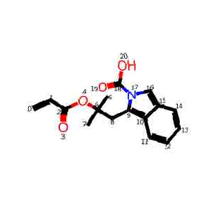 C=CC(=O)OC(C)(C)Cc1c2ccccc2cn1C(=O)O